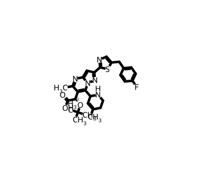 CC1=CC(c2c([C@H](OC(C)(C)C)C(=O)O)c(C)nc3cc(-c4ncc(Cc5ccc(F)cc5)s4)nn23)NCC1